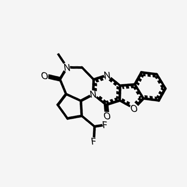 CN1Cc2nc3c(oc4ccccc43)c(=O)n2C2C(CCC2C(F)F)C1=O